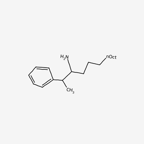 CCCCCCCCCCCC(N)C(C)c1ccccc1